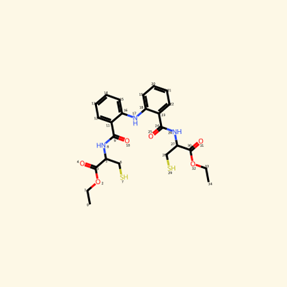 CCOC(=O)C(CS)NC(=O)c1ccccc1Nc1ccccc1C(=O)NC(CS)C(=O)OCC